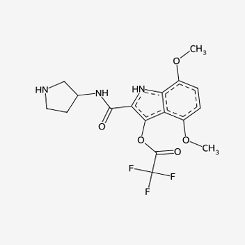 COc1ccc(OC)c2c(OC(=O)C(F)(F)F)c(C(=O)NC3CCNC3)[nH]c12